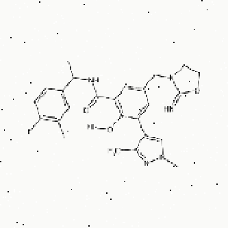 CCOc1c(C(=O)NC(C)c2ccc(F)c(C)c2)cc(CN2CCOC2=N)cc1-c1cn(C)nc1C(F)(F)F